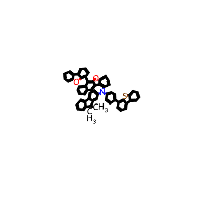 CC1(C)c2ccccc2-c2ccc(N(c3ccc(-c4cccc5c4sc4ccccc45)cc3)c3cccc4oc5c(-c6cccc7c6oc6ccccc67)c6ccccc6cc5c34)cc21